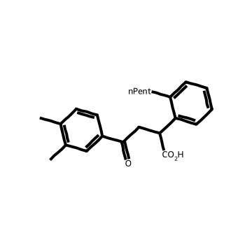 CCCCCc1ccccc1C(CC(=O)c1ccc(C)c(C)c1)C(=O)O